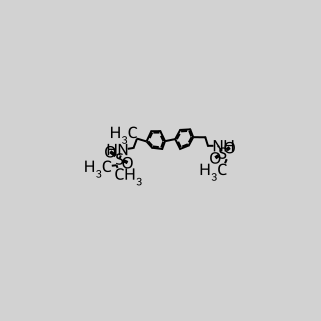 CCS(=O)(=O)NCCc1ccc(-c2ccc(C(C)CNS(=O)(=O)C(C)C)cc2)cc1